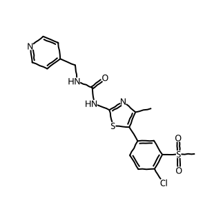 Cc1nc(NC(=O)NCc2ccncc2)sc1-c1ccc(Cl)c(S(C)(=O)=O)c1